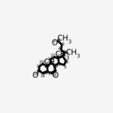 CC(=O)CCC(C)C1CCC2C3C4OC4C4=CC(=O)CCC4(C)C3CCC12C